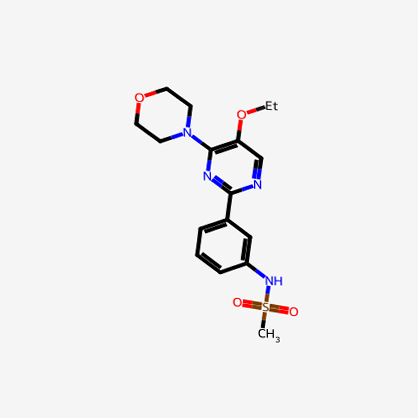 CCOc1cnc(-c2cccc(NS(C)(=O)=O)c2)nc1N1CCOCC1